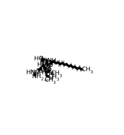 CCCCCCCCCCCCCCCC(=O)N[C@@H](CC(=O)O)C(=O)N[C@@H](CCCNC(=N)N)C(=O)N[C@@H](CC(C)C)C(=O)NC